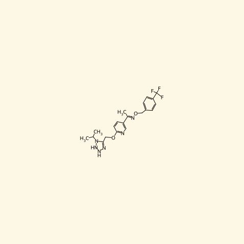 C/C(=N\OCc1ccc(C(F)(F)F)cc1)c1ccc(OCC2=NNNN2C(C)C)nc1